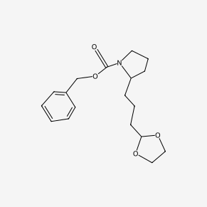 O=C(OCc1ccccc1)N1CCCC1CCCC1OCCO1